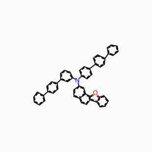 c1ccc(-c2ccc(-c3ccc(N(c4cccc(-c5ccc(-c6ccccc6)cc5)c4)c4ccc5ccc6c7ccccc7oc6c5c4)cc3)cc2)cc1